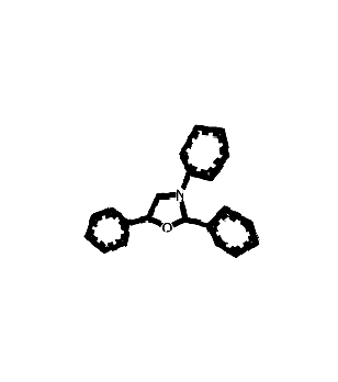 c1ccc(C2CN(c3ccccc3)C(c3ccccc3)O2)cc1